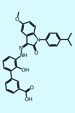 COc1ccc2c(c1)C(=NNc1cccc(-c3cccc(C(=O)O)c3)c1O)C(=O)N2c1ccc(C(C)C)cc1